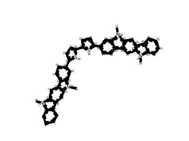 Cn1c2ccccc2c2cc3c(cc21)c1ccc(-c2ccc(-c4ccc(-c5ccc6c7cc8c(cc7n(C)c6c5)c5ccccc5n8C)s4)s2)cc1n3C